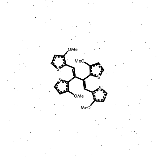 COc1c[c]sc1C=C(C(=Cc1sccc1OC)c1sccc1OC)c1s[c]cc1OC